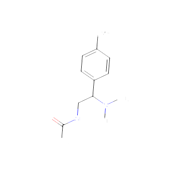 COc1ccc(C(CNC(=O)C(F)(F)F)N(C)C)cc1